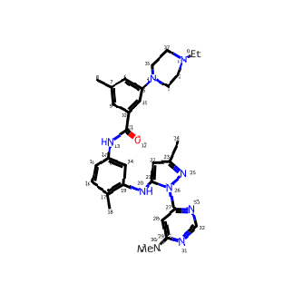 CCN1CCN(c2cc(C)cc(C(=O)Nc3ccc(C)c(Nc4cc(C)nn4-c4cc(NC)ncn4)c3)c2)CC1